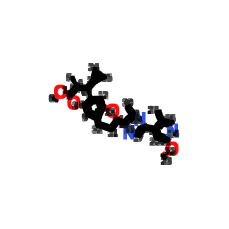 COC(=O)[C@@H](C)[C@H](c1ccc2c(c1)OC(c1ncc(-c3cc(OC)ncc3C)nc1C)CC2)C1CC1